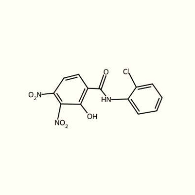 O=C(Nc1ccccc1Cl)c1ccc([N+](=O)[O-])c([N+](=O)[O-])c1O